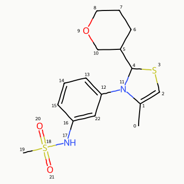 CC1=CSC(C2CCCOC2)N1c1cccc(NS(C)(=O)=O)c1